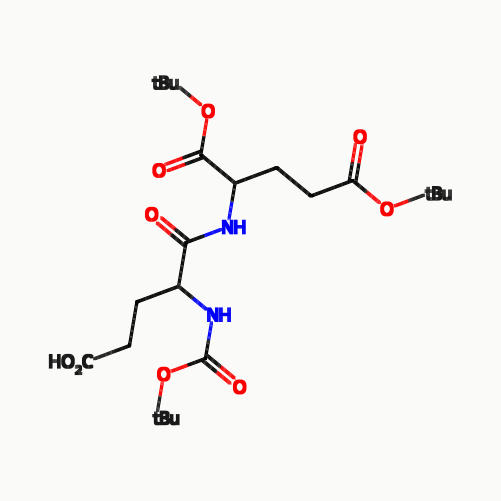 CC(C)(C)OC(=O)CCC(NC(=O)C(CCC(=O)O)NC(=O)OC(C)(C)C)C(=O)OC(C)(C)C